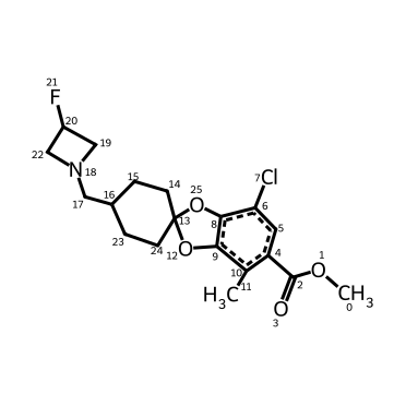 COC(=O)c1cc(Cl)c2c(c1C)OC1(CCC(CN3CC(F)C3)CC1)O2